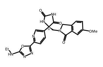 CCNc1nnc(-c2ccc([C@]3(CN4Cc5ccc(OC)cc5C4=O)NC(=O)NC3=O)cn2)o1